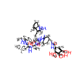 CC(C)[C@@H](NC(=O)[C@H](CC(=O)O)NC(=O)[C@H](NC(=O)[C@H](Cc1c[nH]c2ccccc12)NC(=O)[C@H]1CC[C@@H](CNC(=O)c2cc(O)c(O)c(O)c2)CC1)C(C)C)C(=O)O